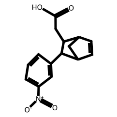 O=C(O)CC1C2C=CC(C2)C1c1cccc([N+](=O)[O-])c1